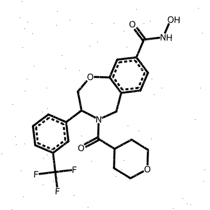 O=C(NO)c1ccc2c(c1)OCC(c1cccc(C(F)(F)F)c1)N(C(=O)C1CCOCC1)C2